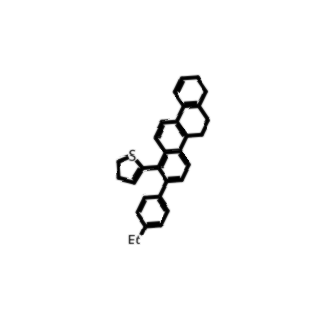 CCc1ccc(-c2ccc3c4c(ccc3c2C2=CCCS2)C2=C(CCC=C2)CC4)cc1